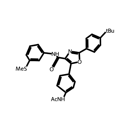 CSc1cccc(NC(=O)c2nc(-c3ccc(C(C)(C)C)cc3)oc2-c2ccc(NC(C)=O)cc2)c1